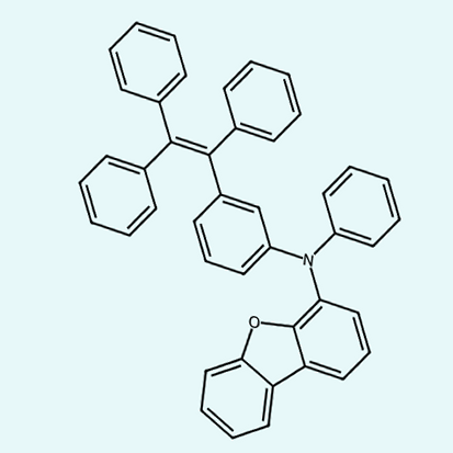 c1ccc(C(=C(c2ccccc2)c2cccc(N(c3ccccc3)c3cccc4c3oc3ccccc34)c2)c2ccccc2)cc1